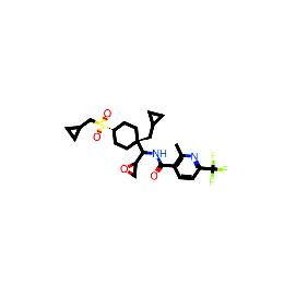 Cc1nc(C(F)(F)F)ccc1C(=O)NC(C1CO1)[C@]1(CC2CC2)CC[C@H](S(=O)(=O)CC2CC2)CC1